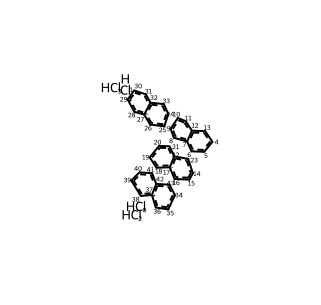 Cl.Cl.Cl.Cl.c1ccc2ccccc2c1.c1ccc2ccccc2c1.c1ccc2ccccc2c1.c1ccc2ccccc2c1